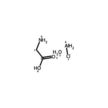 NCC(=O)O.O.[AlH2][Cl]